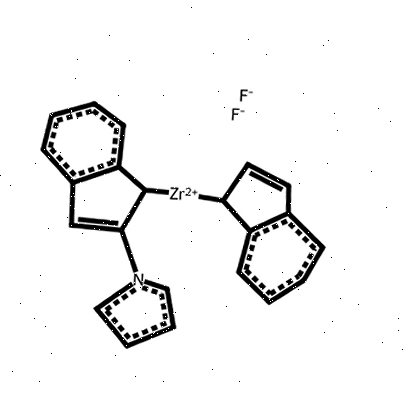 C1=C[CH]([Zr+2][CH]2C(n3cccc3)=Cc3ccccc32)c2ccccc21.[F-].[F-]